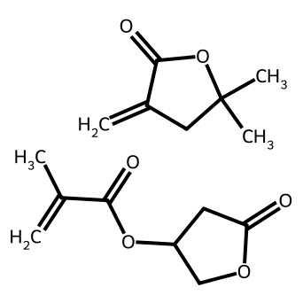 C=C(C)C(=O)OC1COC(=O)C1.C=C1CC(C)(C)OC1=O